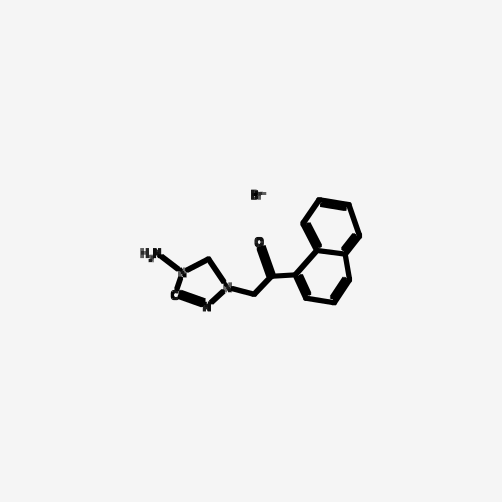 NN1[C+]=NN(CC(=O)c2cccc3ccccc23)C1.[Br-]